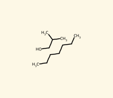 CC(C)CO.CCCCCCC